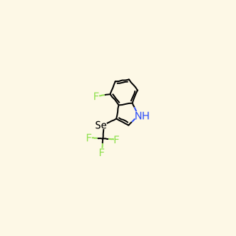 Fc1cccc2[nH]cc([Se]C(F)(F)F)c12